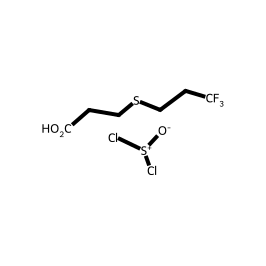 O=C(O)CCSCCC(F)(F)F.[O-][S+](Cl)Cl